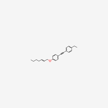 CCCCC=CCOc1ccc(C#Cc2ccc(CC)cc2)cc1